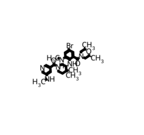 CNc1cncc(C(=O)N2CCC(C)(C)[C@@H](Nc3c(NC)cc(Br)cc3C(=O)N3C[C@@H](C)O[C@@H](C)C3)C2)c1